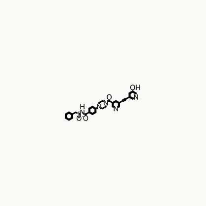 O=C(N[S+]([O-])Cc1ccccc1)c1ccc(N2CCN(C(=O)c3cncc(C#Cc4cncc(O)c4)c3)CC2)cc1